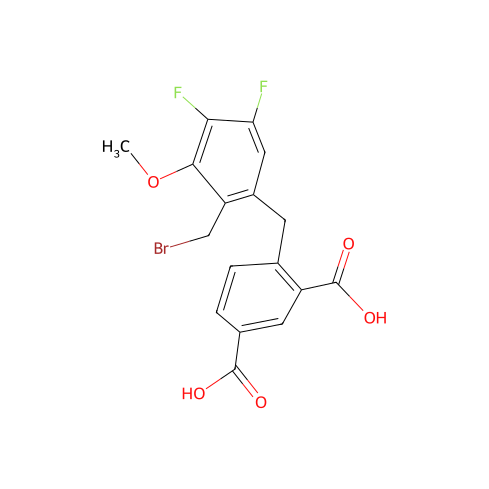 COc1c(F)c(F)cc(Cc2ccc(C(=O)O)cc2C(=O)O)c1CBr